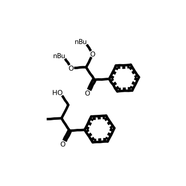 CC(CO)C(=O)c1ccccc1.CCCCOC(OCCCC)C(=O)c1ccccc1